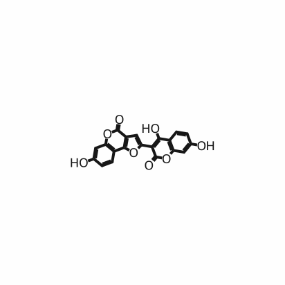 O=c1oc2cc(O)ccc2c(O)c1-c1cc2c(=O)oc3cc(O)ccc3c2o1